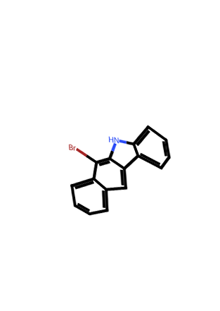 Brc1c2ccccc2cc2c1[nH]c1ccccc12